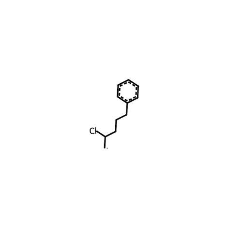 [CH2]C(Cl)CCCc1ccccc1